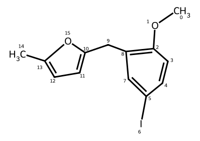 COc1ccc(I)cc1Cc1ccc(C)o1